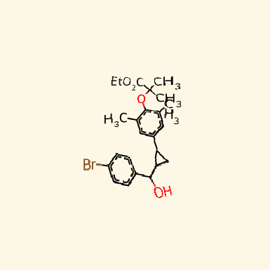 CCOC(=O)C(C)(C)Oc1c(C)cc(C2CC2C(O)c2ccc(Br)cc2)cc1C